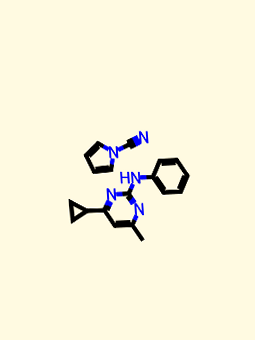 Cc1cc(C2CC2)nc(Nc2ccccc2)n1.N#Cn1cccc1